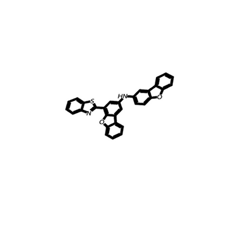 c1ccc2sc(-c3cc(Nc4ccc5oc6ccccc6c5c4)cc4c3oc3ccccc34)nc2c1